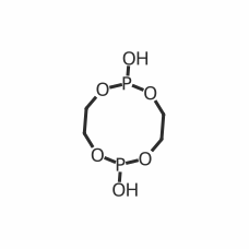 OP1OCCOP(O)OCCO1